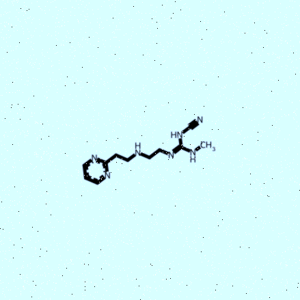 CNC(=NCCNCCc1ncccn1)NC#N